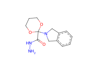 NNC(=O)C1(N2Cc3ccccc3C2)OCCCO1